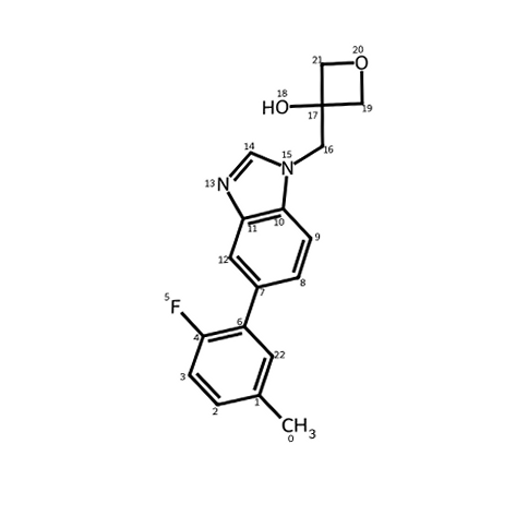 Cc1ccc(F)c(-c2ccc3c(c2)ncn3CC2(O)COC2)c1